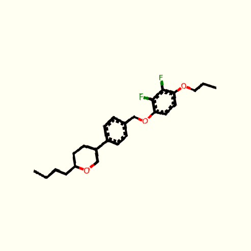 CCCCC1CCC(c2ccc(COc3ccc(OCCC)c(F)c3F)cc2)CO1